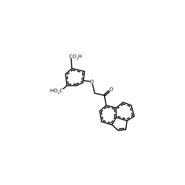 O=C(O)c1cc(OCC(=O)c2ccc3c4c(cccc24)C=C3)cc(C(=O)O)c1